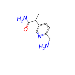 CC(C(N)=O)c1ccc(CN)nc1